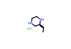 C/C=C1\CNCCN1.Cl